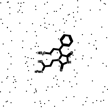 CCCCCC(O)CCN1C(=O)NC(=O)C1C(CCC(=O)O)c1ccccc1